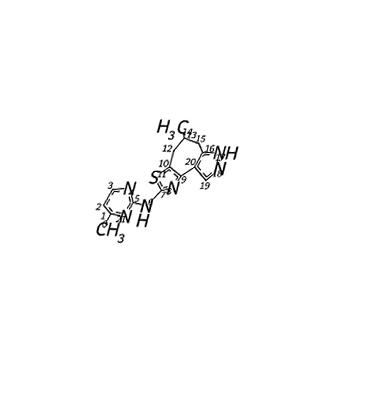 Cc1ccnc(Nc2nc3c(s2)CC(C)Cc2[nH]ncc2-3)n1